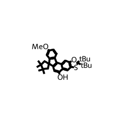 COc1ccc2c(c1)C1(CC(C)(C)C(C)(C)C1)c1cc(O)c3cc4c(cc3c1-2)OC(C(C)(C)C)(C(C)(C)C)S4